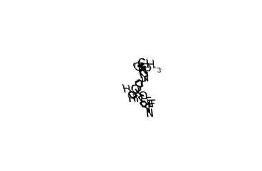 CS(=O)(=O)N1CCN(Cc2cccc(CC(O)(C(=O)Nc3ccc(C#N)c(C(F)(F)F)c3)C3CCCCC3)c2)CC1